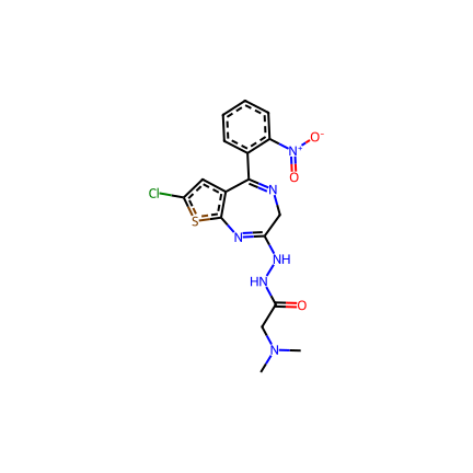 CN(C)CC(=O)NNC1=Nc2sc(Cl)cc2C(c2ccccc2[N+](=O)[O-])=NC1